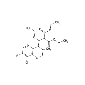 CCOC(=O)C(C(=O)OCC)C(OCC)C1c2ncc(F)c(Cl)c2OCC1C